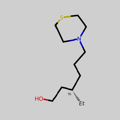 CC[C@H](CCO)CCCN1CCSCC1